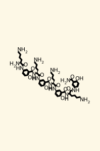 NCCCCC(NC(=O)c1cc(NC(=O)[C@H](CCCCN)NC(=O)c2cc(NC(=O)[C@H](CCCCN)NC(=O)c3cc(NC(=O)[C@@H](N)CCCCN)ccc3O)ccc2O)ccc1O)C(=O)Nc1ccc(O)c(C(N)=O)c1